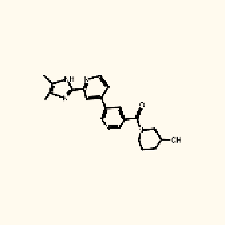 Cc1nc(-c2cc(-c3cncc(C(=O)N4CCCC(O)C4)c3)ccn2)[nH]c1C